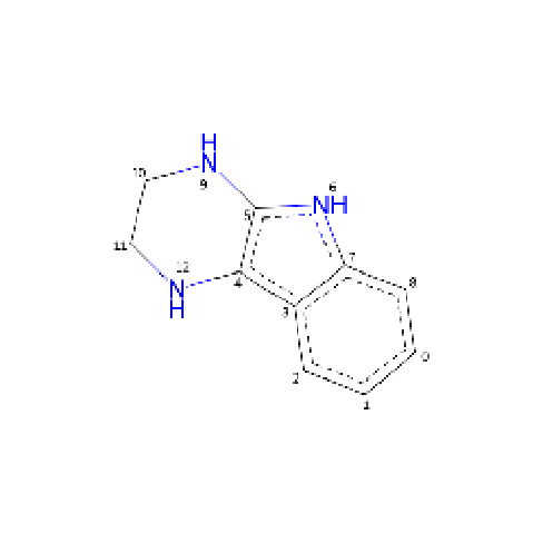 c1ccc2c3c([nH]c2c1)NCCN3